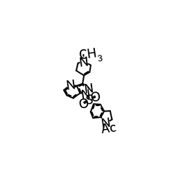 CC(=O)N1CCc2cc(S(=O)(=O)n3nc(C4=CCN(C)CC4)c4ncccc43)ccc21